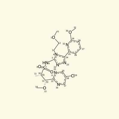 COCCn1c(NS(=O)(=O)[C@@H](C)[C@@H](OC)c2ncc(Cl)cn2)nnc1-c1cccc(OC)n1